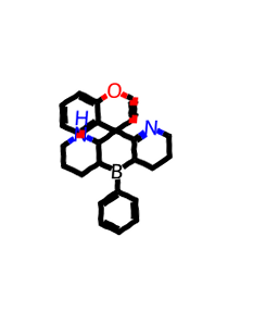 c1ccc(B2C3CCCN=C3C3(c4ccccc4Oc4ccccc43)C3NCCCC23)cc1